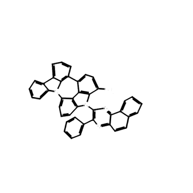 Bc1ccc2c3cccc4c5ccccc5n(c5cccc6c5c2c1n6-c1nc2c(ccc5ccccc52)nc1-c1ccccc1)c34